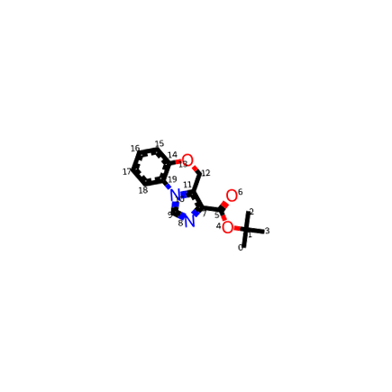 CC(C)(C)OC(=O)c1ncn2c1COc1ccccc1-2